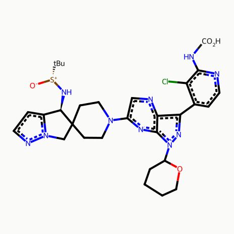 CC(C)(C)[S@@+]([O-])N[C@@H]1c2ccnn2CC12CCN(c1cnc3c(-c4ccnc(NC(=O)O)c4Cl)nn(C4CCCCO4)c3n1)CC2